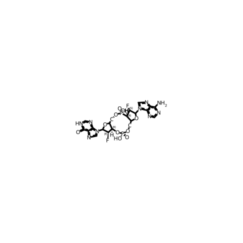 Nc1ncnc2c1ncn2C1OC2COP(=O)(O)O[C@@H]3C(COP(=O)(O)[C@H]2[C@H]1F)OC(n1cnc2c(=O)[nH]cnc21)[C@@H]3F